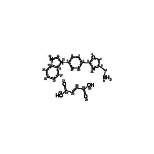 NCc1coc(-c2ccc(-n3cnc4ccccc43)cc2)n1.O=C(O)C=CC(=O)O